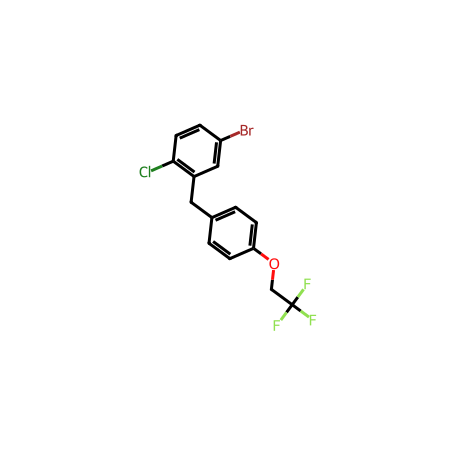 FC(F)(F)COc1ccc(Cc2cc(Br)ccc2Cl)cc1